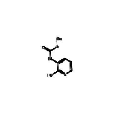 CC(C)(C)OC(=O)Nc1cccnc1O